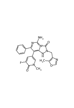 Cc1ocnc1Cn1[nH]c2c(-c3cc(F)c(=O)n(C)c3)c(-c3ccccc3)nc(N)[n+]2c1=O